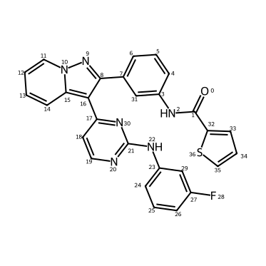 O=C(Nc1cccc(-c2nn3ccccc3c2-c2ccnc(Nc3cccc(F)c3)n2)c1)c1cccs1